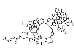 C=CC(=O)N1CCN(c2nc(=O)n3c4nc(c(F)cc24)-c2c(F)cccc2OCC(OC(=O)OC(C)(C)C)C(OC(=O)OC(C)(C)C)c2ccnc(C(C)C)c2-3)[C@@H](C)C1